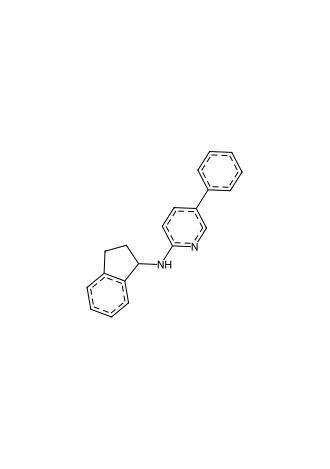 c1ccc(-c2ccc(NC3CCc4ccccc43)nc2)cc1